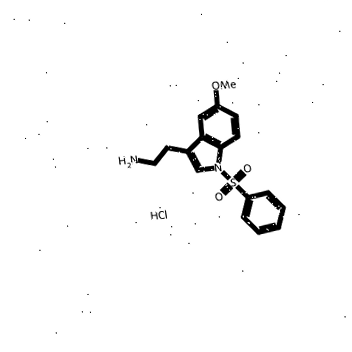 COc1ccc2c(c1)c(CCN)cn2S(=O)(=O)c1ccccc1.Cl